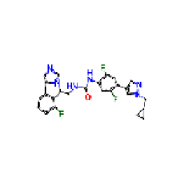 O=C(NCC1c2c(F)cccc2-c2cncn21)Nc1cc(F)c(-c2cnn(CC3CC3)c2)cc1F